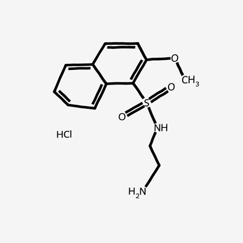 COc1ccc2ccccc2c1S(=O)(=O)NCCN.Cl